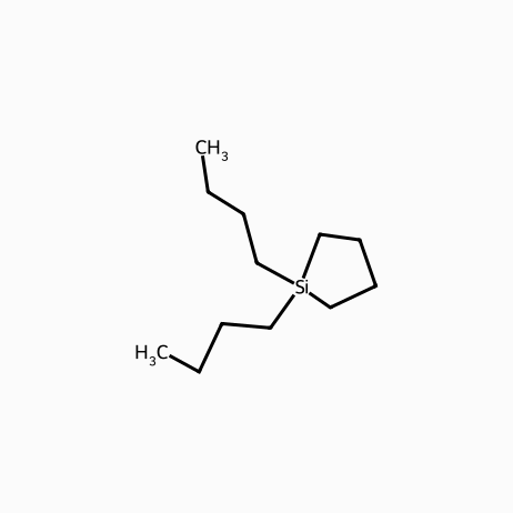 CCCC[Si]1(CCCC)CCCC1